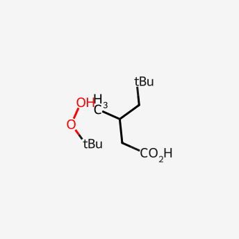 CC(C)(C)OO.CC(CC(=O)O)CC(C)(C)C